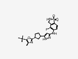 Cc1nc(C2CCC(c3cc(Nc4ccc5c(c4F)CNS5(=O)=O)n[nH]3)C2)oc1C(C)(C)C